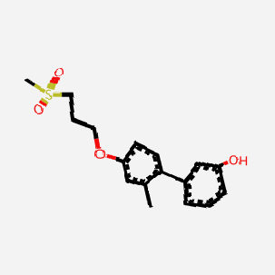 Cc1cc(OCCCS(C)(=O)=O)ccc1-c1cccc(O)c1